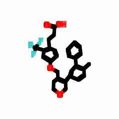 Cc1ccc(C2=C(COc3ccc(CCC(=O)O)c(C(F)(F)F)c3)CCOC2)cc1-c1ccccc1